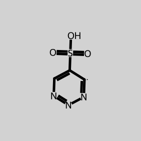 O=S(=O)(O)c1[c]nnnc1